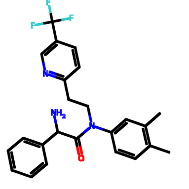 Cc1ccc(N(CCc2ccc(C(F)(F)F)cn2)C(=O)C(N)c2ccccc2)cc1C